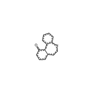 O=c1cccc2ccnc3ccccc3c1-2